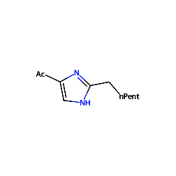 CCCCCCc1nc(C(C)=O)c[nH]1